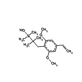 C=Cc1cc(OC)c(CC(C)(C)[Si](C)(C)O)c(OC)c1